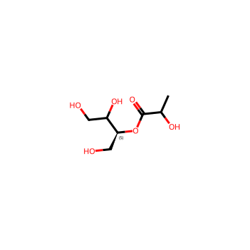 CC(O)C(=O)O[C@@H](CO)C(O)CO